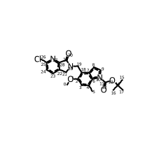 COc1cc(C)c2c(ccn2C(=O)OC(C)(C)C)c1CN1Cc2ccc(Cl)nc2C1=O